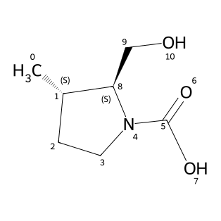 C[C@H]1CCN(C(=O)O)[C@@H]1CO